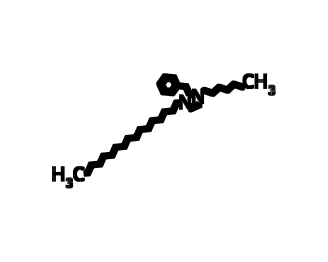 CCCCCCCCCCCCCCCCCN1C=CN(CCCCCCC)C1Cc1ccccc1